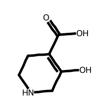 O=C(O)C1=C(O)CNCC1